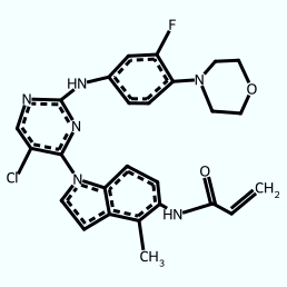 C=CC(=O)Nc1ccc2c(ccn2-c2nc(Nc3ccc(N4CCOCC4)c(F)c3)ncc2Cl)c1C